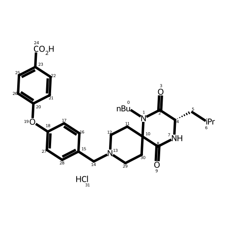 CCCCN1C(=O)[C@H](CC(C)C)NC(=O)C12CCN(Cc1ccc(Oc3ccc(C(=O)O)cc3)cc1)CC2.Cl